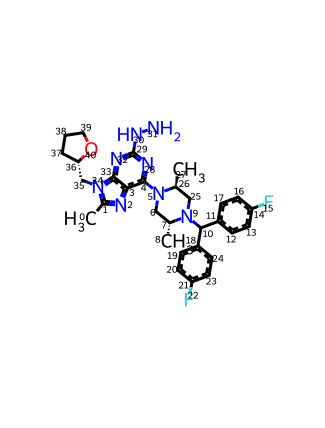 Cc1nc2c(N3C[C@@H](C)N(C(c4ccc(F)cc4)c4ccc(F)cc4)C[C@@H]3C)nc(NN)nc2n1C[C@@H]1CCCO1